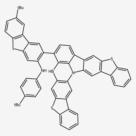 CC(C)(C)c1ccc(Nc2cc3sc4ccc(C(C)(C)C)cc4c3cc2-c2ccc3c4cc5sc6ccccc6c5cc4n4c3c2Bc2cc3sc5ccccc5c3cc2-4)cc1